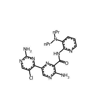 CCCN(CCC)c1cccnc1NC(=O)c1nc(-c2nc(N)ncc2Cl)cnc1N